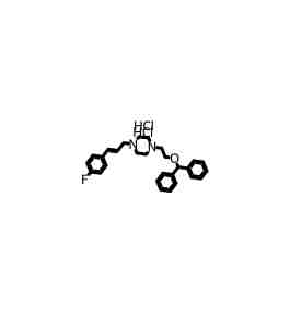 Cl.Cl.Fc1ccc(C=CCN2CCN(CCOC(c3ccccc3)c3ccccc3)CC2)cc1